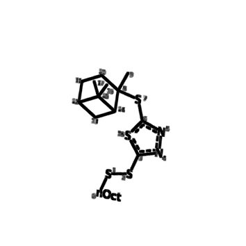 CCCCCCCCSSc1nnc(SC2(C)CCC3CC2C3(C)C)s1